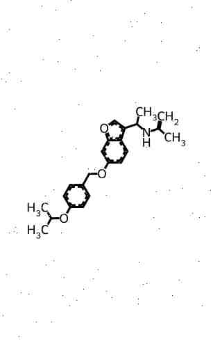 C=C(C)NC(C)c1coc2cc(OCc3ccc(OC(C)C)cc3)ccc12